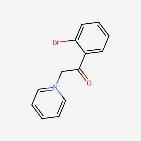 O=C(C[n+]1ccccc1)c1ccccc1Br